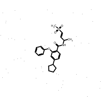 CC(C=CS(C)(=O)=O)NC(=O)c1ccc(C2CCCC2)cc1Oc1ccccc1